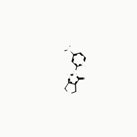 CN(C)c1ccnc(-n2[nH]c3c(c2=O)CSC3)c1.Cl